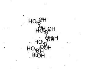 OB(O)O.OB(O)O.OB(O)O.OB(O)O.[LiH].[Rb]